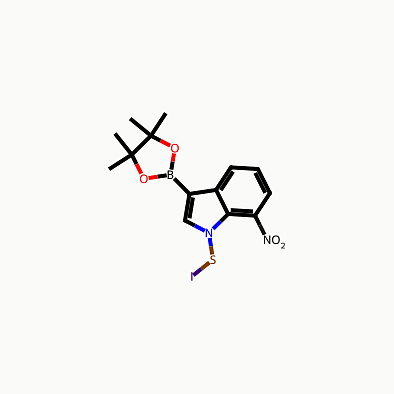 CC1(C)OB(c2cn(SI)c3c([N+](=O)[O-])cccc23)OC1(C)C